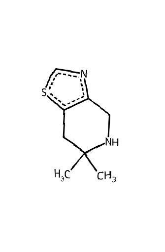 CC1(C)Cc2scnc2CN1